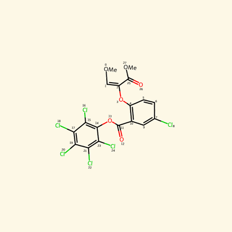 COC=C(Oc1ccc(Cl)cc1C(=O)Oc1c(Cl)c(Cl)c(Cl)c(Cl)c1Cl)C(=O)OC